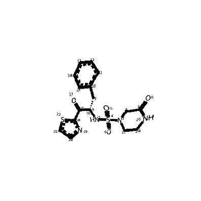 O=C1CN(S(=O)(=O)N[C@@H](Cc2ccccc2)C(=O)c2n[c]cs2)CCN1